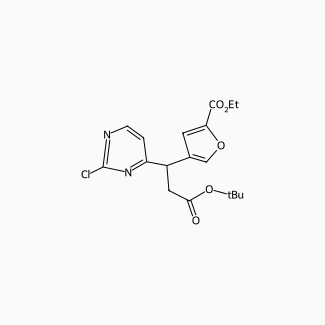 CCOC(=O)c1cc(C(CC(=O)OC(C)(C)C)c2ccnc(Cl)n2)co1